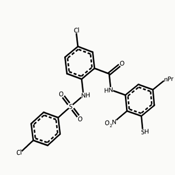 CCCc1cc(S)c([N+](=O)[O-])c(NC(=O)c2cc(Cl)ccc2NS(=O)(=O)c2ccc(Cl)cc2)c1